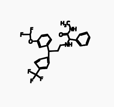 CNC(=O)C(NCCC(c1ccc(C(F)(F)F)cc1)c1cccc(OC(F)F)c1)c1ccccc1